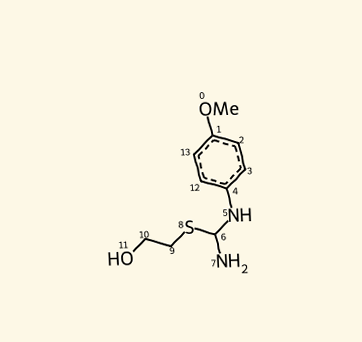 COc1ccc(NC(N)SCCO)cc1